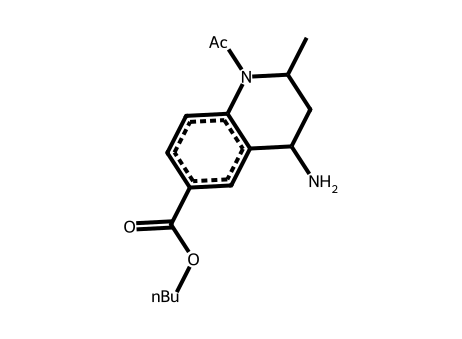 CCCCOC(=O)c1ccc2c(c1)C(N)CC(C)N2C(C)=O